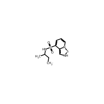 [CH2]CC(C)NS(=O)(=O)C1=CC=CN2SNC=C12